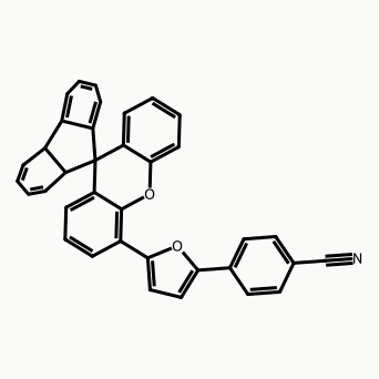 N#Cc1ccc(-c2ccc(-c3cccc4c3Oc3ccccc3C43c4ccccc4C4C=CC=CC43)o2)cc1